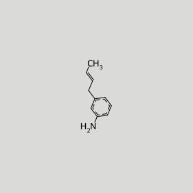 CC=CCc1cccc(N)c1